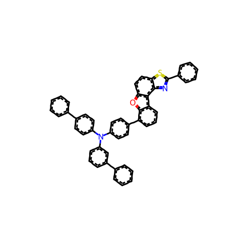 c1ccc(-c2ccc(N(c3ccc(-c4cccc5c4oc4ccc6sc(-c7ccccc7)nc6c45)cc3)c3cccc(-c4ccccc4)c3)cc2)cc1